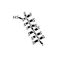 S=S(=S)(I)S(=S)(=S)S(=S)(=S)S(=S)(=S)S(=S)(=S)S(=S)(=S)SS